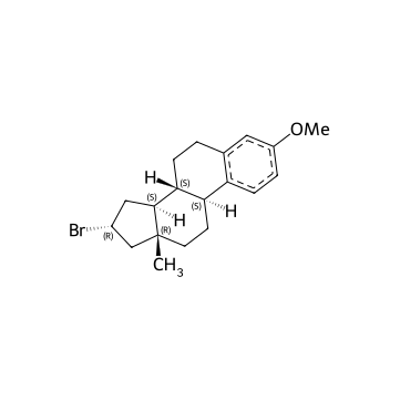 COc1ccc2c(c1)CC[C@@H]1[C@@H]2CC[C@]2(C)C[C@H](Br)C[C@@H]12